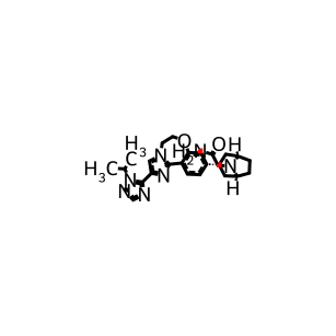 CC(C)n1ncnc1-c1cn2c(n1)-c1ccc([C@H]3C[C@H]4CC[C@@H](C3)N4CC(N)=O)cc1OCC2